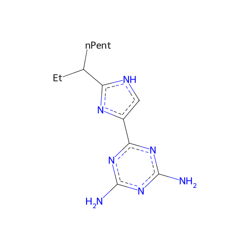 CCCCCC(CC)c1nc(-c2nc(N)nc(N)n2)c[nH]1